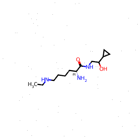 CCNCCCC[C@@H](N)C(=O)NCC(O)C1CC1